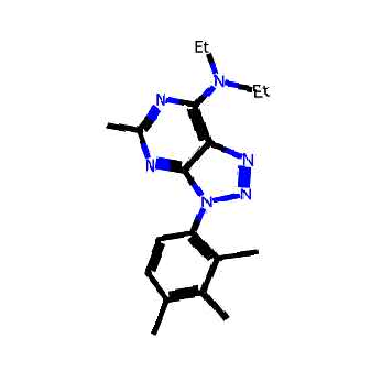 CCN(CC)c1nc(C)nc2c1nnn2-c1ccc(C)c(C)c1C